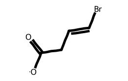 [O]C(=O)CC=CBr